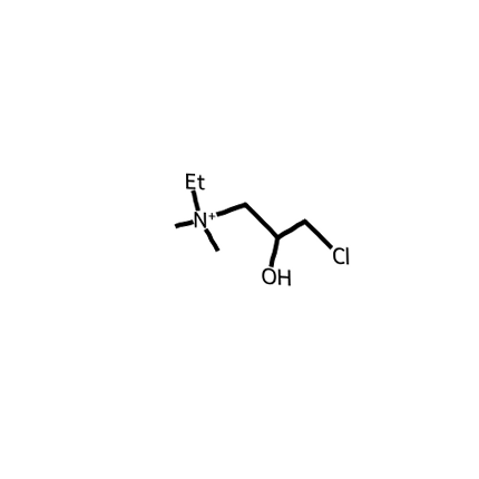 CC[N+](C)(C)CC(O)CCl